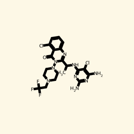 CC(Nc1nc(N)nc(N)c1Cl)c1nc2cccc(Cl)c2c(=O)n1N1CCN(CC(F)(F)F)CC1